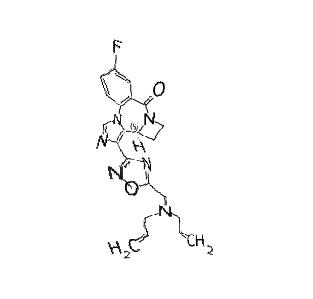 C=CCN(CC=C)Cc1nc(-c2ncn3c2[C@@H]2CCN2C(=O)c2cc(F)ccc2-3)no1